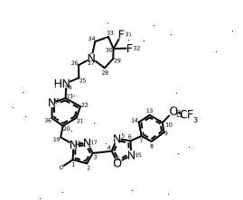 Cc1cc(-c2nc(-c3ccc(OC(F)(F)F)cc3)no2)nn1Cc1ccc(NCCN2CCC(F)(F)CC2)nc1